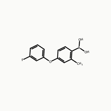 Cc1cc(Oc2cccc(F)c2)ccc1B(O)O